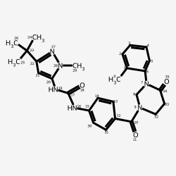 Cc1ccccc1N1CN(C(=O)c2ccc(NC(=O)Nc3cc(C(C)(C)C)nn3C)cc2)CCC1=O